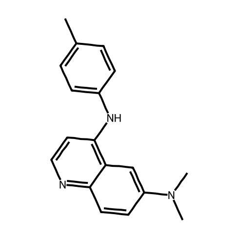 Cc1ccc(Nc2ccnc3ccc(N(C)C)cc23)cc1